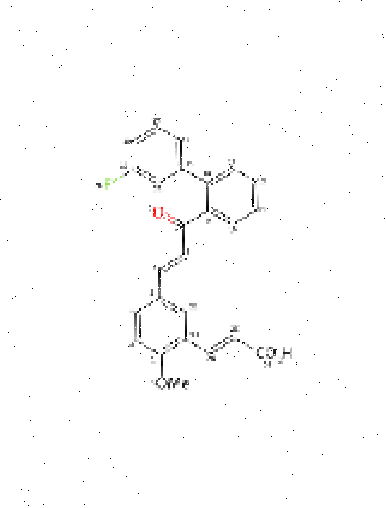 COc1ccc(/C=C/C(=O)c2ccccc2-c2cccc(F)c2)cc1/C=C/C(=O)O